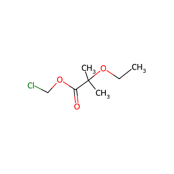 CCOC(C)(C)C(=O)OCCl